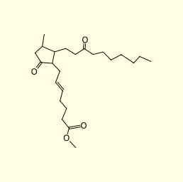 CCCCCCCC(=O)CCC1C(C)CC(=O)C1CC=CCCCC(=O)OC